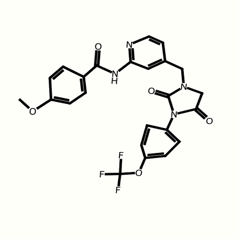 COc1ccc(C(=O)Nc2cc(CN3CC(=O)N(c4ccc(OC(F)(F)F)cc4)C3=O)ccn2)cc1